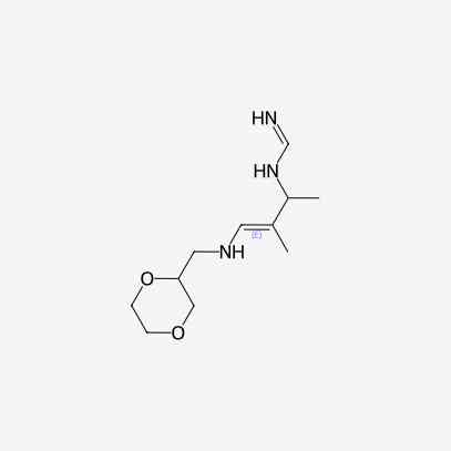 C/C(=C\NCC1COCCO1)C(C)NC=N